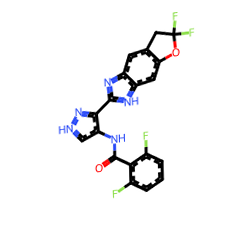 O=C(Nc1c[nH]nc1-c1nc2cc3c(cc2[nH]1)OC(F)(F)C3)c1c(F)cccc1F